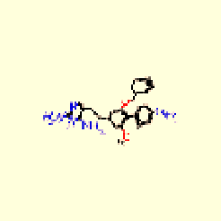 CCOc1cc(CCc2cnc(N)nc2N)cc(OCc2ccccc2)c1-c1ccc(N)cc1